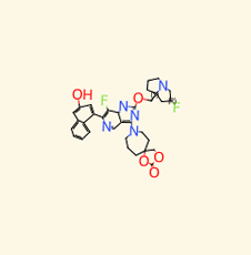 O=C1OCC2(CCCN(c3nc(OC[C@@]45CCCN4C[C@H](F)C5)nc4c(F)c(-c5cc(O)cc6ccccc56)ncc34)CC2)O1